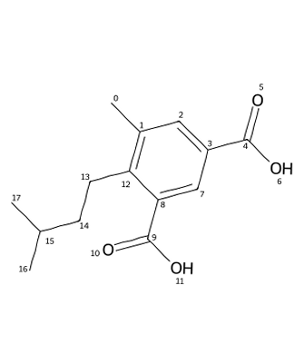 Cc1cc(C(=O)O)cc(C(=O)O)c1CCC(C)C